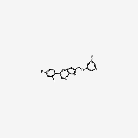 Fc1cncc(OCc2cn3cc(-c4ccc(F)cc4F)cnc3n2)c1